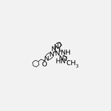 Cc1cc(Nc2nc(N3CCN(C(=O)CC4CCCCC4)CC3)nn3cccc23)n[nH]1